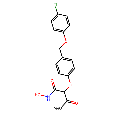 COC(=O)C(Oc1ccc(COc2ccc(Cl)cc2)cc1)C(=O)NO